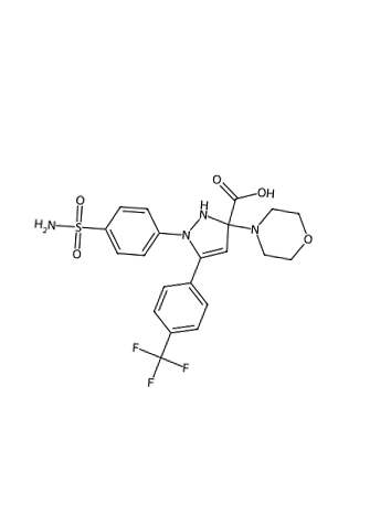 NS(=O)(=O)c1ccc(N2NC(C(=O)O)(N3CCOCC3)C=C2c2ccc(C(F)(F)F)cc2)cc1